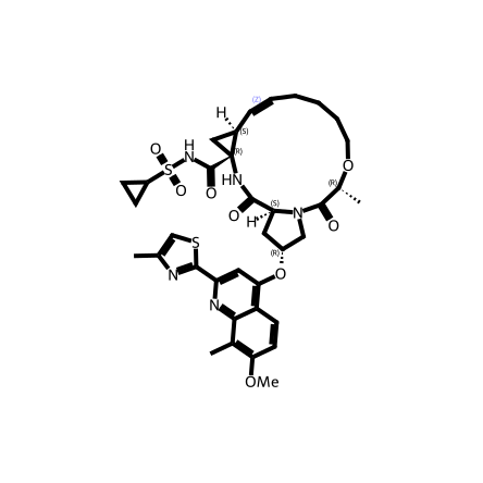 COc1ccc2c(O[C@@H]3C[C@H]4C(=O)N[C@]5(C(=O)NS(=O)(=O)C6CC6)C[C@H]5/C=C\CCCCO[C@H](C)C(=O)N4C3)cc(-c3nc(C)cs3)nc2c1C